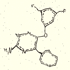 Nc1nnc(Oc2cc(F)cc(F)c2)c(-c2ccccc2)n1